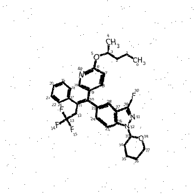 CCC[C@H](C)Oc1ccc(/C(=C(/CC(F)(F)F)c2ccccc2)c2ccc3c(c2)c(F)nn3C2CCCCO2)cn1